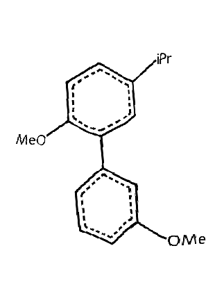 COc1cccc(-c2cc(C(C)C)ccc2OC)c1